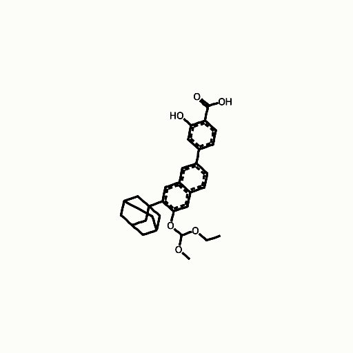 CCOC(OC)Oc1cc2ccc(-c3ccc(C(=O)O)c(O)c3)cc2cc1C12CC3CC(CC(C3)C1)C2